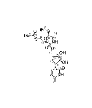 C=C1C=CN([C@@H]2S[C@H](CO[P@](=O)(N[C@@H](C)C(=O)OC(C)C)OCCSC(=O)C(C)(C)C)[C@@H](O)[C@H]2O)C(=O)N1